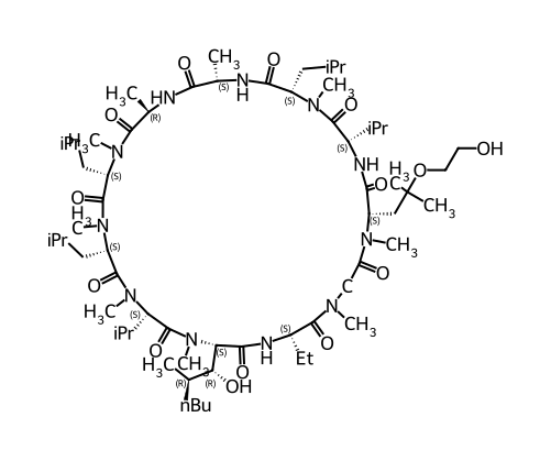 CCCC[C@@H](C)[C@@H](O)[C@H]1C(=O)N[C@@H](CC)C(=O)N(C)CC(=O)N(C)[C@@H](CC(C)(C)OCCO)C(=O)N[C@@H](C(C)C)C(=O)N(C)[C@@H](CC(C)C)C(=O)N[C@@H](C)C(=O)N[C@H](C)C(=O)N(C)[C@@H](CC(C)C)C(=O)N(C)[C@@H](CC(C)C)C(=O)N(C)[C@@H](C(C)C)C(=O)N1C